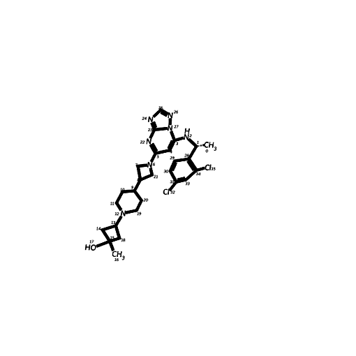 C[C@@H](Nc1cc(N2CC(C3CCN(C4CC(C)(O)C4)CC3)C2)nc2ncnn12)c1ccc(Cl)cc1Cl